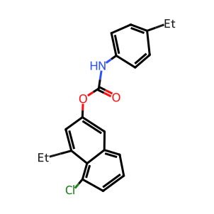 CCc1ccc(NC(=O)Oc2cc(CC)c3c(Cl)cccc3c2)cc1